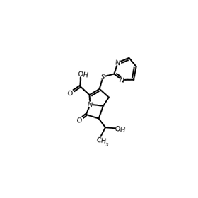 CC(O)C1C(=O)N2C(C(=O)O)=C(Sc3ncccn3)CC12